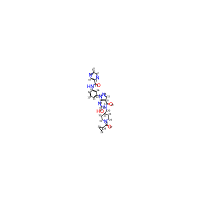 Cc1cnc(C(=O)Nc2cccc(-n3ncc4c(=O)n(CC5(O)CCN(C(=O)C6CC6)CC5)cnc43)c2)cn1